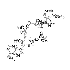 Nc1ncnc2c1ncn2C1C(O)C2OP(=O)(O)OCC3OC(n4ncc5c4N=NNC5N)C(OP(=O)(O)OCC24CC14)C3O